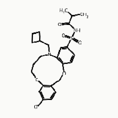 CC(C)C(=O)NS(=O)(=O)c1ccc2c(c1)N(CC1CCC1)CCCCc1cc(Cl)ccc1CO2